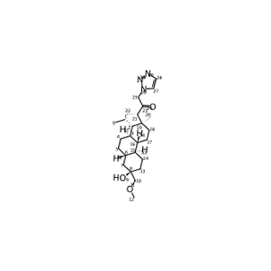 CC[C@H]1[C@@H]2CC[C@H]3C[C@@](O)(COC)CC[C@@H]3[C@H]2CC[C@]1(C)[C@H](C)C(=O)Cn1ccnn1